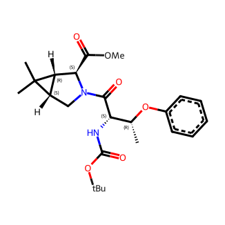 COC(=O)[C@@H]1[C@@H]2[C@H](CN1C(=O)[C@@H](NC(=O)OC(C)(C)C)[C@@H](C)Oc1ccccc1)C2(C)C